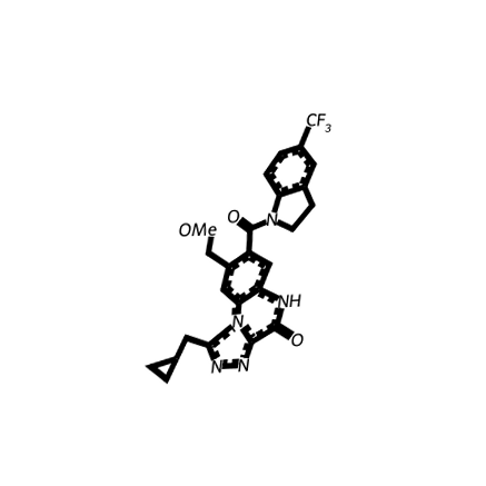 COCc1cc2c(cc1C(=O)N1CCc3cc(C(F)(F)F)ccc31)[nH]c(=O)c1nnc(CC3CC3)n12